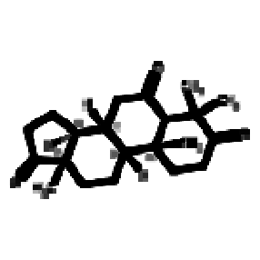 CC1(C)C(=O)CC[C@@]2(C)C1C(=O)C[C@@H]1[C@H]2CC[C@]2(C)C(=O)CC[C@@H]12